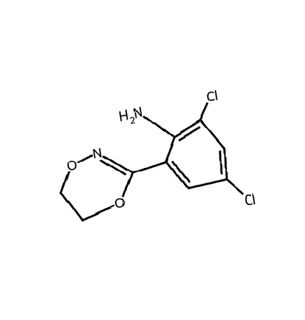 Nc1c(Cl)cc(Cl)cc1C1=NOCCO1